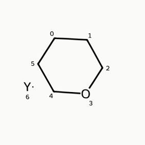 C1CCOCC1.[Y]